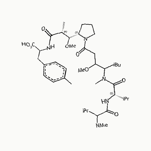 CCC(C)C(C(CC(=O)N1CCC[C@H]1C(OC)[C@@H](C)C(=O)NC(Cc1ccc(C)cc1)C(=O)O)OC)N(C)C(=O)[C@@H](NC(=O)C(NC)C(C)C)C(C)C